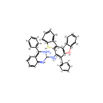 N/C(=C1/C=CC=C/C1=N/CNc1c(-c2ccccc2)c2oc3ccccc3c2c2c1sc1ccccc12)c1ccccc1